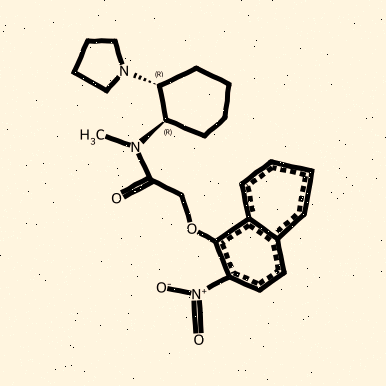 CN(C(=O)COc1c([N+](=O)[O-])ccc2ccccc12)[C@@H]1CCCC[C@H]1N1CCCC1